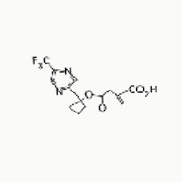 C=C(CC(=O)OC1(c2cnc(C(F)(F)F)cn2)CCC1)C(=O)O